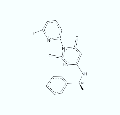 C[C@H](Nc1cc(=O)n(-c2cccc(F)n2)c(=O)[nH]1)c1ccccc1